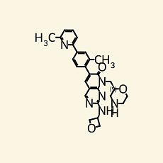 Cc1cccc(-c2ccc(-c3cc4cnc(NC5COC5)nc4n(C[C@@H]4CNCCO4)c3=O)c(C)c2)n1